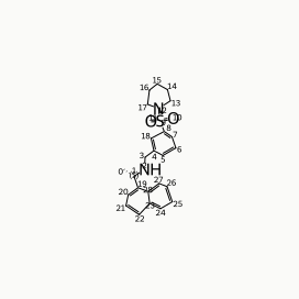 C[C@H](NCc1cccc(S(=O)(=O)N2CCCCC2)c1)c1cccc2ccccc12